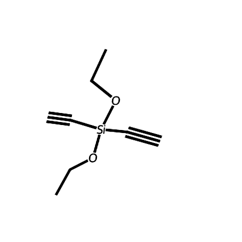 C#C[Si](C#C)(OCC)OCC